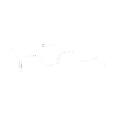 O=[SH](=O)c1ccc(CCCF)cc1